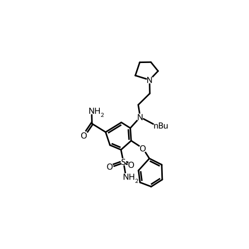 CCCCN(CCN1CCCC1)c1cc(C(N)=O)cc(S(N)(=O)=O)c1Oc1ccccc1